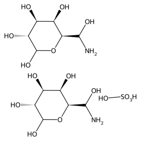 NC(O)[C@H]1OC(O)[C@H](O)[C@@H](O)[C@H]1O.NC(O)[C@H]1OC(O)[C@H](O)[C@@H](O)[C@H]1O.O=S(=O)(O)O